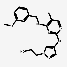 COc1cccc(CNc2nc(Nc3cnn(CCO)c3)ncc2Cl)c1